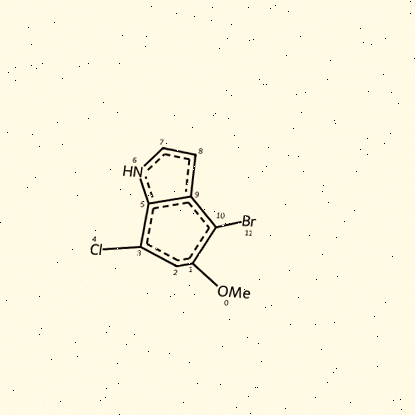 COc1cc(Cl)c2[nH]ccc2c1Br